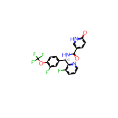 O=C(N[C@@H](c1ccc(OC(F)(F)F)c(F)c1)c1ncccc1F)c1ccc(=O)[nH]c1